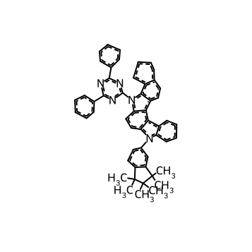 CC1(C)c2ccc(-n3c4ccccc4c4c5c6ccc7ccccc7c6n(-c6nc(-c7ccccc7)nc(-c7ccccc7)n6)c5ccc43)cc2C(C)(C)C1(C)C